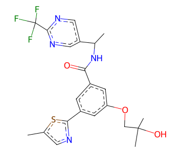 Cc1cnc(-c2cc(OCC(C)(C)O)cc(C(=O)NC(C)c3cnc(C(F)(F)F)nc3)c2)s1